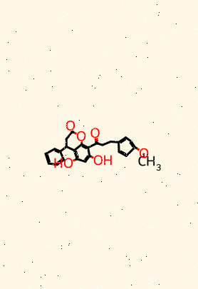 COc1ccc(CCC(=O)c2c(O)cc(O)c3c2OC(=O)CC3c2ccccc2)cc1